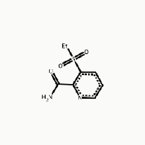 CCS(=O)(=O)c1cccnc1C(N)=O